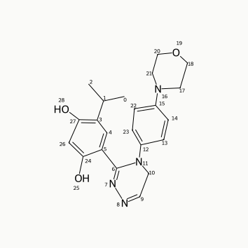 CC(C)c1cc(C2=NN=CCN2c2ccc(N3CCOCC3)cc2)c(O)cc1O